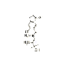 CC(=O)N1CCc2cc(Cl)c(SN(N)/C=C(\N)C(C)(C)O)cc21